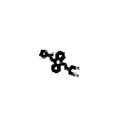 CCN(CC)CCn1c2ccccc2c(=NN(C)c2nccs2)c2ccccc21